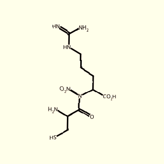 N=C(N)NCCCC(C(=O)O)N(C(=O)C(N)CS)[N+](=O)[O-]